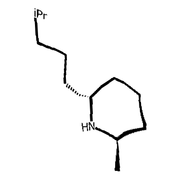 CC(C)CCC[C@@H]1CCC[C@@H](C)N1